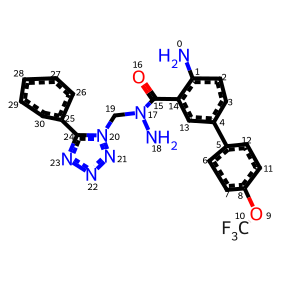 Nc1ccc(-c2ccc(OC(F)(F)F)cc2)cc1C(=O)N(N)Cn1nnnc1-c1ccccc1